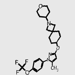 Cc1cc(OC2CCC3(CC2)CN(C2CCOCC2)C3)nn1-c1ccc(OC(F)(F)F)cc1